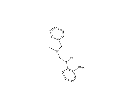 COc1ccccc1C(O)CN(C)Cc1ccccc1